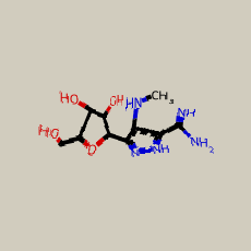 CNc1c(C2OC(CO)C(O)C2O)n[nH]c1C(=N)N